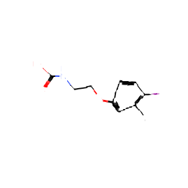 Cc1cc(OCCNC(=O)O)ccc1I